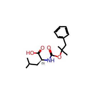 CC(C)C[C@H](NC(=O)OC(C)(C)Cc1ccccc1)C(=O)O